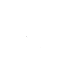 CC(C#N)c1cc(S)ncn1